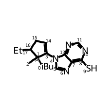 CCC(C)[C@]1(C)C(n2cnc3c(S)ncnc32)=CCC1CC